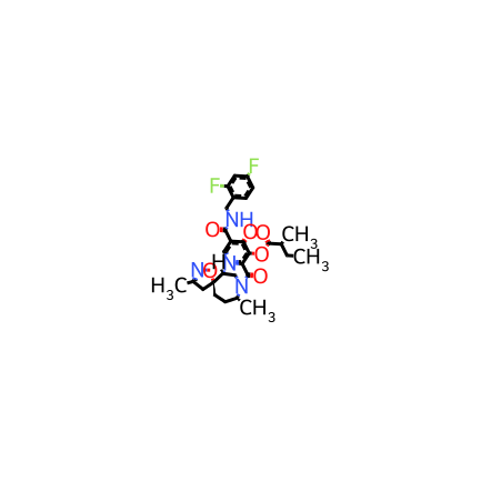 CCC(C)C(=O)Oc1c2n(cc(C(=O)NCc3ccc(F)cc3F)c1=O)[C@@H]1CN(C2=O)[C@@H](C)CC[C@]12CC(C)=NO2